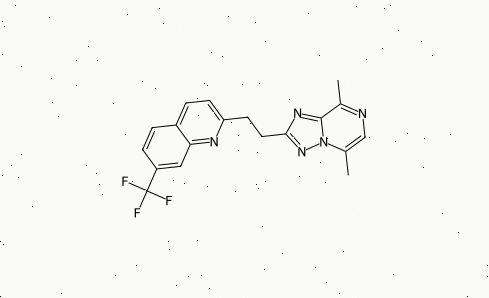 Cc1ncc(C)n2nc(CCc3ccc4ccc(C(F)(F)F)cc4n3)nc12